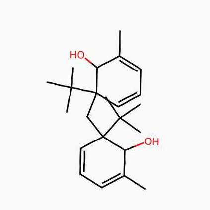 CC1=CC=CC(CC2(C(C)(C)C)C=CC=C(C)C2O)(C(C)(C)C)C1O